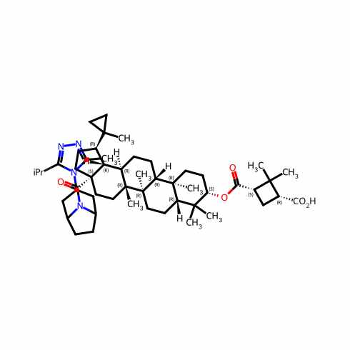 Cc1nnc(C(C)C)n1C1CC2CCC(C1)N2C(=O)[C@]12CC[C@@H](C3(C)CC3)[C@@H]1[C@H]1CC[C@@H]3[C@@]4(C)CC[C@H](OC(=O)[C@H]5C[C@@H](C(=O)O)C5(C)C)C(C)(C)[C@@H]4CC[C@@]3(C)[C@]1(C)CC2